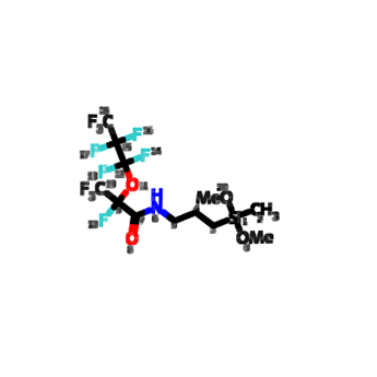 CO[Si](C)(CCCNC(=O)C(F)(OC(F)(F)C(F)(F)C(F)(F)F)C(F)(F)F)OC